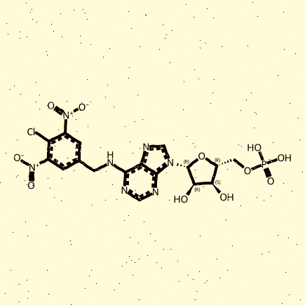 O=[N+]([O-])c1cc(CNc2ncnc3c2ncn3[C@@H]2O[C@H](COP(=O)(O)O)[C@@H](O)[C@H]2O)cc([N+](=O)[O-])c1Cl